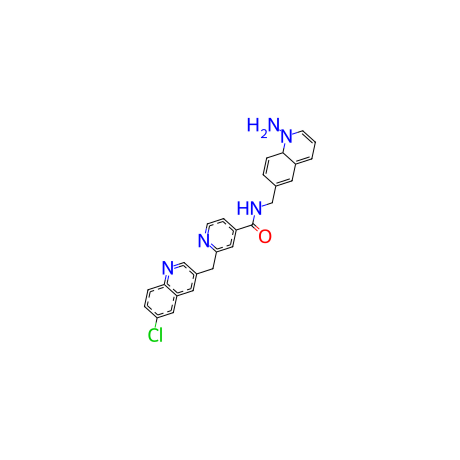 NN1C=CC=C2C=C(CNC(=O)c3ccnc(Cc4cnc5ccc(Cl)cc5c4)c3)C=CC21